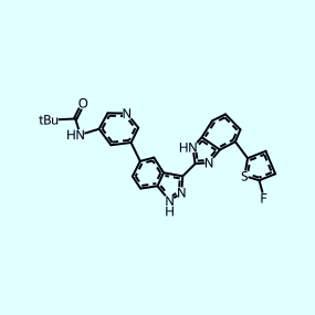 CC(C)(C)C(=O)Nc1cncc(-c2ccc3[nH]nc(-c4nc5c(-c6ccc(F)s6)cccc5[nH]4)c3c2)c1